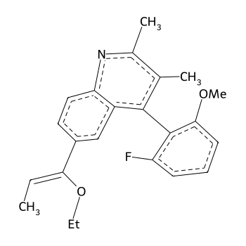 CC=C(OCC)c1ccc2nc(C)c(C)c(-c3c(F)cccc3OC)c2c1